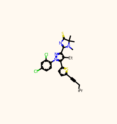 CCc1c(C2=NC(=S)C(C)(C)N2C)nn(-c2ccc(Cl)cc2Cl)c1-c1ccc(C#CCC(C)C)s1